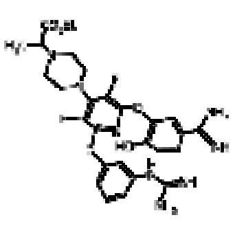 CCOC(=O)C(C)N1CCN(c2c(F)c(Oc3cccc(NC(=N)N)c3)nc(Oc3cc(C(=N)N)ccc3O)c2F)CC1